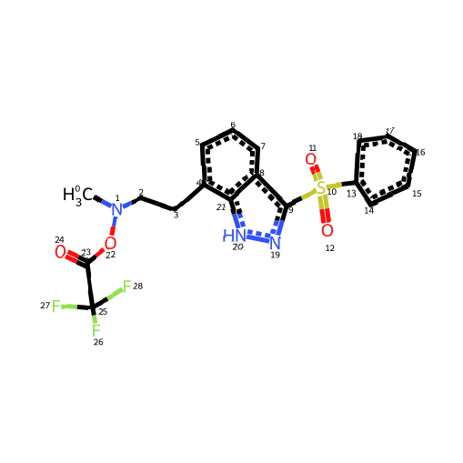 CN(CCc1cccc2c(S(=O)(=O)c3ccccc3)n[nH]c12)OC(=O)C(F)(F)F